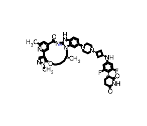 Cc1cc2cc(n1)-c1cnn(C)c1OCCC[C@@H](C)CN1/C(=N/C2=O)Nc2ccc(N3CCN([C@H]4C[C@H](Nc5cc(F)c([C@H]6CCC(=O)NC6=O)c(F)c5)C4)CC3)cc21